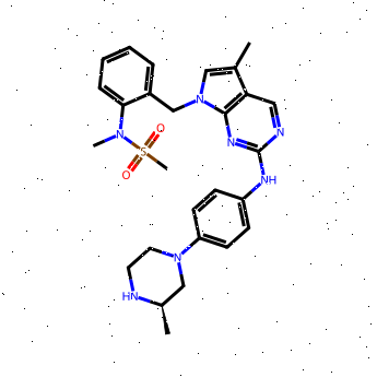 Cc1cn(Cc2ccccc2N(C)S(C)(=O)=O)c2nc(Nc3ccc(N4CCN[C@H](C)C4)cc3)ncc12